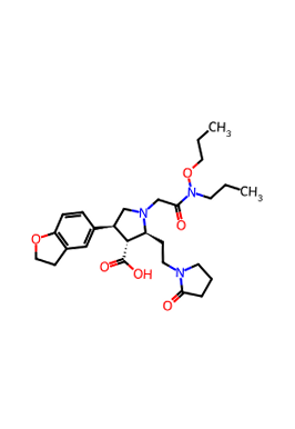 CCCON(CCC)C(=O)CN1C[C@H](c2ccc3c(c2)CCO3)[C@@H](C(=O)O)[C@@H]1CCN1CCCC1=O